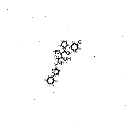 O=C(NCc1ccc(-c2ccccc2)s1)[C@H](O)[C@@H](O)C(=O)N1CCC[C@@H]1c1cccc(Cl)c1